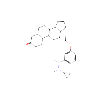 CCCN(C1CC1)C(CC)c1cccc(OCC[C@]23CCC4C(CCC5CC(=O)CC[C@@]54C)C2CC[C@@H]3O)c1